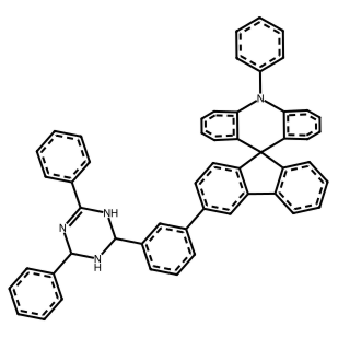 c1ccc(C2=NC(c3ccccc3)NC(c3cccc(-c4ccc5c(c4)-c4ccccc4C54c5ccccc5N(c5ccccc5)c5ccccc54)c3)N2)cc1